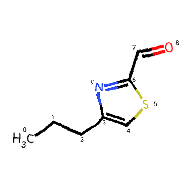 CCCc1csc(C=O)n1